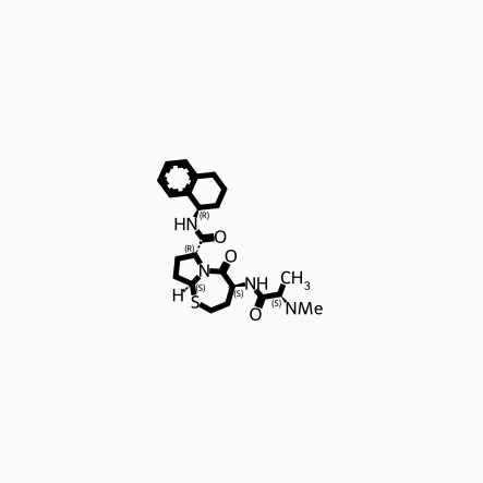 CN[C@@H](C)C(=O)N[C@H]1CCS[C@H]2CC[C@H](C(=O)N[C@@H]3CCCc4ccccc43)N2C1=O